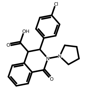 O=C(O)C1c2ccccc2C(=O)N(N2CCCC2)C1c1ccc(Cl)cc1